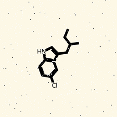 CCC(C)Cc1c[nH]c2ccc(Cl)cc12